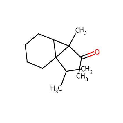 CC(=O)C1(C)C2CCCCC21C(C)C